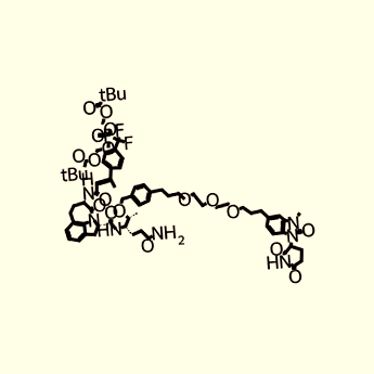 C/C(=C\C(=O)N[C@H]1CCc2cccc3c2N(C1=O)[C@H](C(=O)N[C@@H](CCC(N)=O)[C@@H](C)OCc1ccc(CCCOCCOCCOCCCc2ccc4c(c2)n(C)c(=O)n4C2CCC(=O)NC2=O)cc1)C3)c1ccc(C(F)(F)P(=O)(OCOC(=O)C(C)(C)C)OCOC(=O)C(C)(C)C)cc1